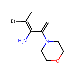 C=C(/C(N)=C(\C)CC)N1CCOCC1